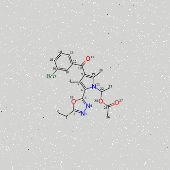 CCc1nnc(-c2c(C)c(C(=O)c3cccc(Br)c3)c(C)n2C(C)OC(C)=O)o1